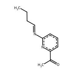 CCCC=Nc1cccc(C(C)=O)n1